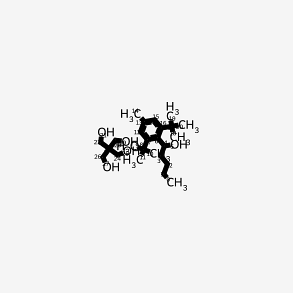 CCCCC(O)c1c(C(C)(C)C)cc(C)cc1C(C)(C)C.OCC(CO)(CO)CO